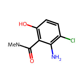 CNC(=O)c1c(O)ccc(Cl)c1N